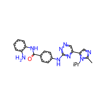 Cc1ncc(-c2cnnc(Nc3ccc(C(=O)Nc4ccccc4N)cc3)n2)n1C(C)C